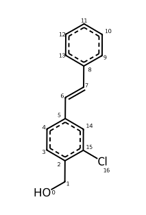 OCc1ccc(/C=C/c2ccccc2)cc1Cl